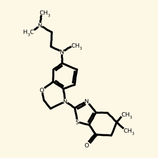 CN(C)CCN(C)c1ccc2c(c1)OCCN2c1nc2c(s1)C(=O)CC(C)(C)C2